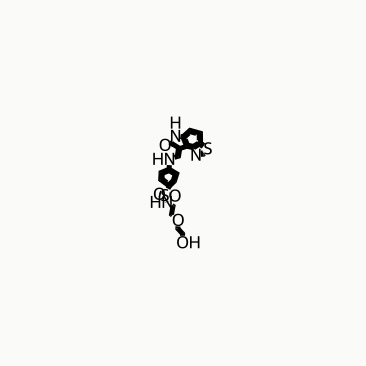 O=C1Nc2ccc3scnc3c2/C1=C/Nc1ccc(S(=O)(=O)NCCOCCO)cc1